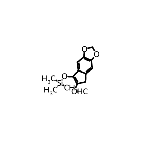 C[Si](C)(C)OC1=C(C=O)Cc2cc3c(cc21)OCO3